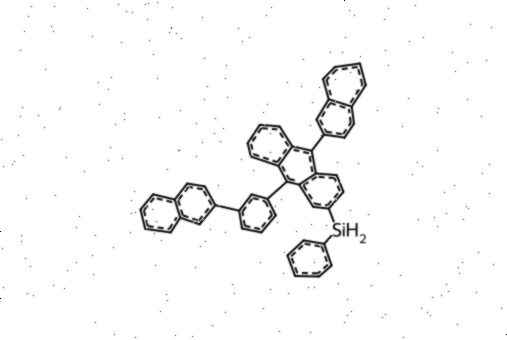 c1ccc([SiH2]c2ccc3c(-c4ccc5ccccc5c4)c4ccccc4c(-c4cccc(-c5ccc6ccccc6c5)c4)c3c2)cc1